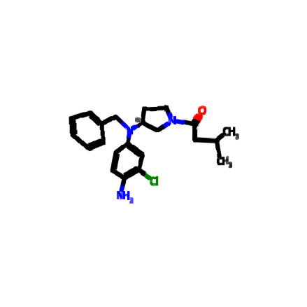 CC(C)CC(=O)N1CC[C@H](N(Cc2ccccc2)c2ccc(N)c(Cl)c2)C1